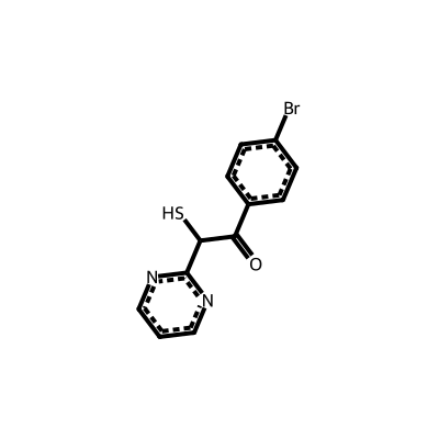 O=C(c1ccc(Br)cc1)C(S)c1ncccn1